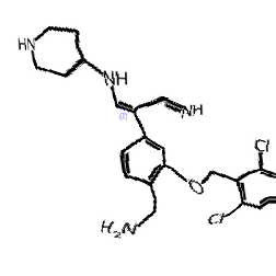 N=C/C(=C\NC1CCNCC1)c1ccc(CN)c(OCc2c(Cl)cccc2Cl)c1